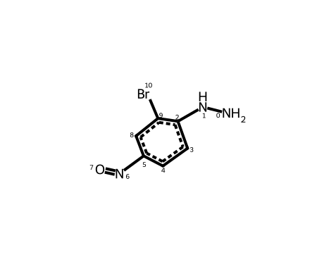 NNc1ccc(N=O)cc1Br